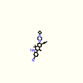 C=C1c2cc(C#CC)c(N3CCN(C4CCC4)CC3)cc2C(C)(C)c2[nH]c3cc(C#N)ccc3c21